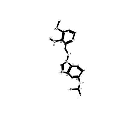 COc1ccnc(CSn2cnc3cc(OC(F)F)ccc32)c1OC